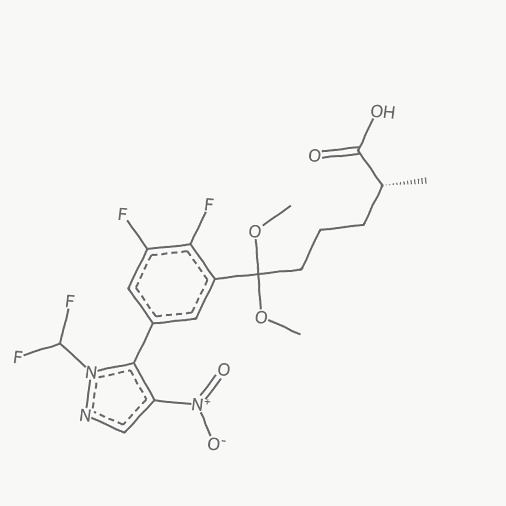 COC(CCC[C@@H](C)C(=O)O)(OC)c1cc(-c2c([N+](=O)[O-])cnn2C(F)F)cc(F)c1F